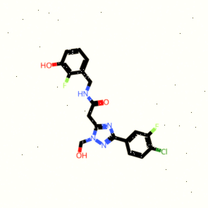 O=C(Cc1nc(-c2ccc(Cl)c(F)c2)nn1CO)NCc1cccc(O)c1F